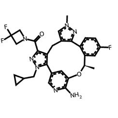 C[C@H]1Oc2cc(cnc2N)-c2c(c(C(=O)N3CC(F)(F)C3)nn2CC2CC2)Cc2cn(C)nc2-c2ccc(F)cc21